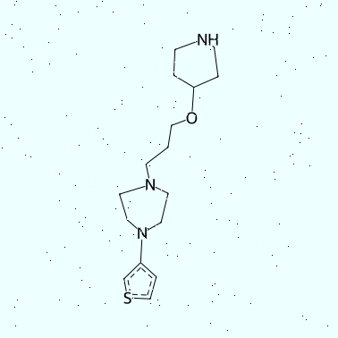 c1cc(N2CCN(CCCOC3CCNCC3)CC2)cs1